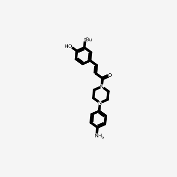 CC(C)(C)c1cc(C=CC(=O)N2CCN(c3ccc(N)cc3)CC2)ccc1O